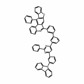 c1ccc(-c2nc(-c3cccc(-c4cccc(-c5nc6ccccc6c6c(-c7ccccc7)c7c(cc56)oc5ccccc57)c4)c3)cc(-c3cccc(-n4c5ccccc5c5ccccc54)c3)n2)cc1